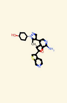 Cc1c(-c2cnc(N)c3oc(-c4csc5cnccc45)cc23)cnn1[C@H]1CC[C@H](O)CC1